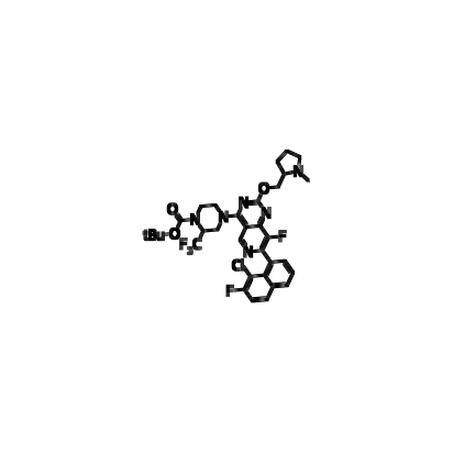 CN1CCCC1COc1nc(N2CCN(C(=O)OC(C)(C)C)C(C(F)(F)F)C2)c2cnc(-c3cccc4ccc(F)c(Cl)c34)c(F)c2n1